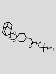 CC(C)(N)CNC(=O)CC1CC[C@]2(CC1)OO[C@]1(O2)C2CC3CC(C2)CC1C3